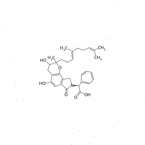 CC(C)=CCC/C(C)=C/CCC1(C)Oc2c(c(O)cc3c2CN([C@H](C(=O)O)c2ccccc2)C3=O)CC1O